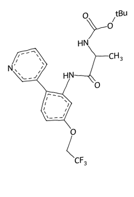 CC(NC(=O)OC(C)(C)C)C(=O)Nc1cc(OCC(F)(F)F)ccc1-c1cccnc1